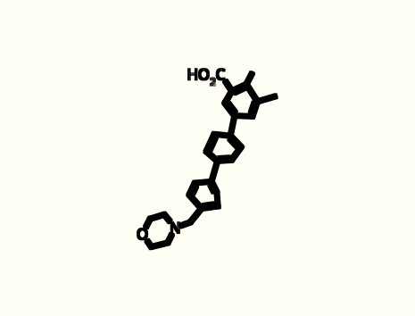 Cc1cc(-c2ccc(-c3ccc(CN4CCOCC4)cc3)cc2)cc(C(=O)O)c1C